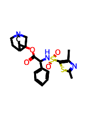 Cc1nc(C)c(S(=O)(=O)NC(C(=O)OC2CN3CCC2CC3)c2ccccc2)s1